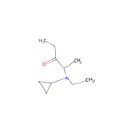 CCC(=O)C(C)N(CC)C1CC1